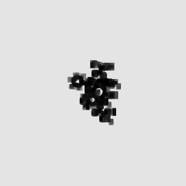 CC(=O)O[C@@]12CO[C@@H]1C[C@H](OC(=O)C(C)O)[C@@]1(C)C(=O)[C@H](O)C3=C(C)[C@@H](OC(=O)[C@H](O)C(C)C)C[C@@](O)([C@@H](OC(=O)c4ccccc4)C12)C3(C)C